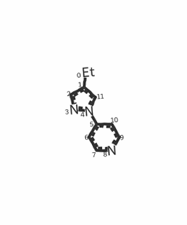 CCc1cnn(-c2ccncc2)c1